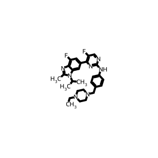 CCN1CCN(Cc2ccc(Nc3ncc(F)c(-c4cc(F)c5nc(C)n(C(C)C)c5c4)n3)cc2)CC1